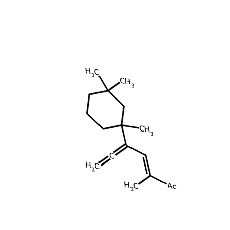 C=C=C(C=C(C)C(C)=O)C1(C)CCCC(C)(C)C1